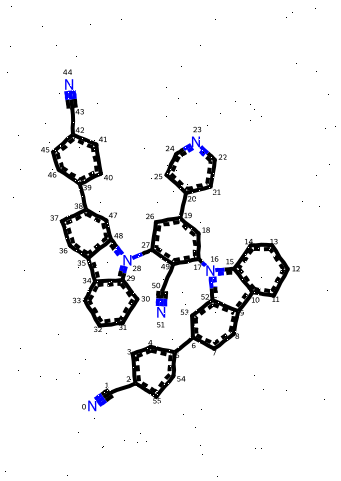 N#Cc1ccc(-c2ccc3c4ccccc4n(-c4cc(-c5ccncc5)cc(-n5c6ccccc6c6ccc(-c7ccc(C#N)cc7)cc65)c4C#N)c3c2)cc1